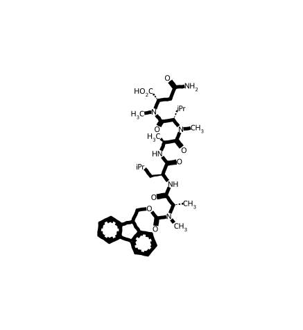 CC(C)C[C@H](NC(=O)[C@H](C)N(C)C(=O)OCC1c2ccccc2-c2ccccc21)C(=O)N[C@@H](C)C(=O)N(C)[C@H](C(=O)N(C)[C@@H](CC(N)=O)C(=O)O)C(C)C